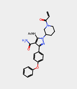 C=CC(=O)N1CCCC(n2nc(-c3ccc(Oc4ccccc4)cc3)c(C(N)=O)c2NC(C)=O)C1